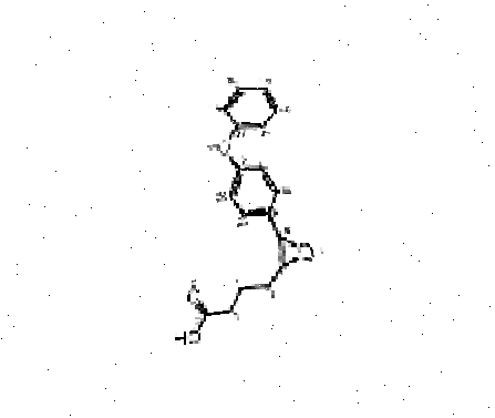 O=C(O)CCCC1OC1c1ccc(Oc2ccccc2)cc1